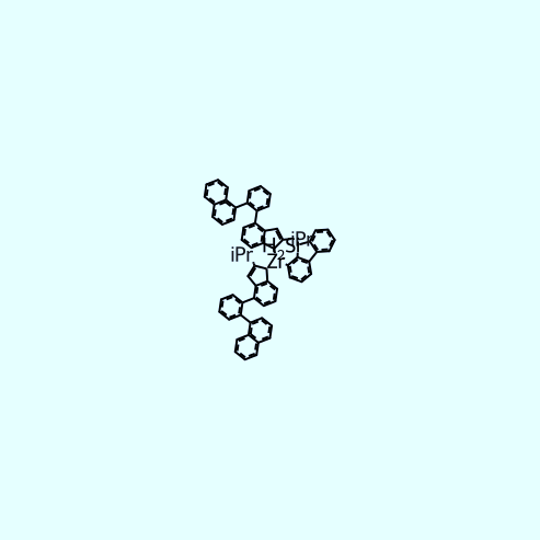 CC(C)C1=Cc2c(-c3ccccc3-c3cccc4ccccc34)cccc2[CH]1[Zr]([c]1cccc2c1[SiH2]c1ccccc1-2)[CH]1C(C(C)C)=Cc2c(-c3ccccc3-c3cccc4ccccc34)cccc21